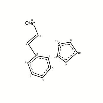 O=CC=Cc1ccccc1.c1ccsc1